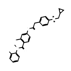 CN(C(=O)c1ccc(NC(=O)Cc2ccc(S(=O)(=O)CC3CC3)cc2)cc1Cl)c1ccccc1F